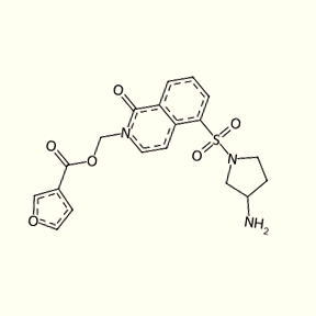 NC1CCN(S(=O)(=O)c2cccc3c(=O)n(COC(=O)c4ccoc4)ccc23)C1